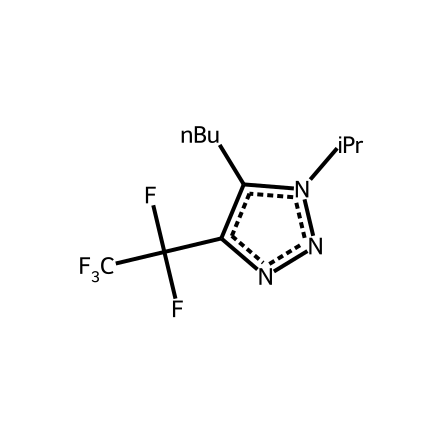 CCCCc1c(C(F)(F)C(F)(F)F)nnn1C(C)C